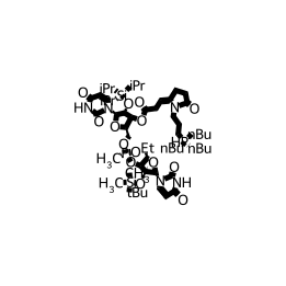 CCCC[PH](CCCC)(CCCC)CCCN1C(=O)CCC1=CCC(=O)OC1[C@@H](COP(C)(=O)OC2[C@@H](CC)O[C@@H](n3ccc(=O)[nH]c3=O)[C@H]2O[Si](C)(C)C(C)(C)C)O[C@@H](n2ccc(=O)[nH]c2=O)[C@H]1O[Si](C(C)C)(C(C)C)C(C)C